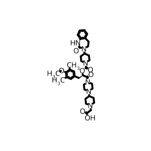 COc1c(C)cc(C[C@@H](OC(=O)N2CCC(N3CCc4ccccc4NC3=O)CC2)C(=O)N2CCN(C3CCN(CC(=O)O)CC3)CC2)cc1C